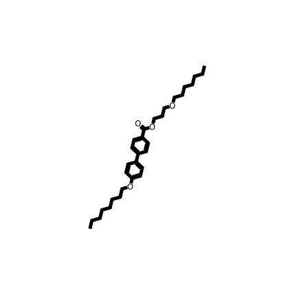 CCCCCCCCOc1ccc(-c2ccc(C(=O)OCCCOCCCCCCC)cc2)cc1